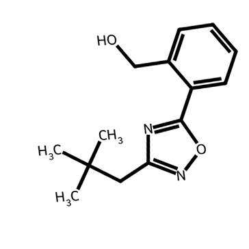 CC(C)(C)Cc1noc(-c2ccccc2CO)n1